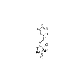 O=c1[nH]c(=S)[nH]cc1CCc1ccccc1